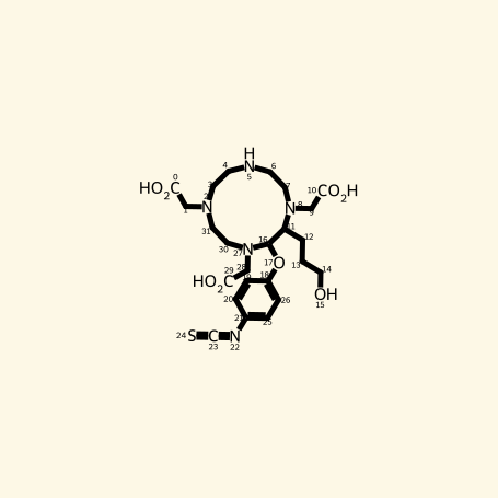 O=C(O)CN1CCNCCN(CC(=O)O)C(CCCO)C(Oc2ccc(N=C=S)cc2)N(CC(=O)O)CC1